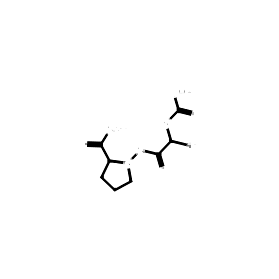 CNC(=O)C1CCCN1NC(=O)C(NC(=O)OC)C(C)C